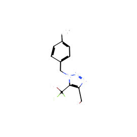 COc1ccc(Cn2nnc(CBr)c2C(F)(F)Br)cc1